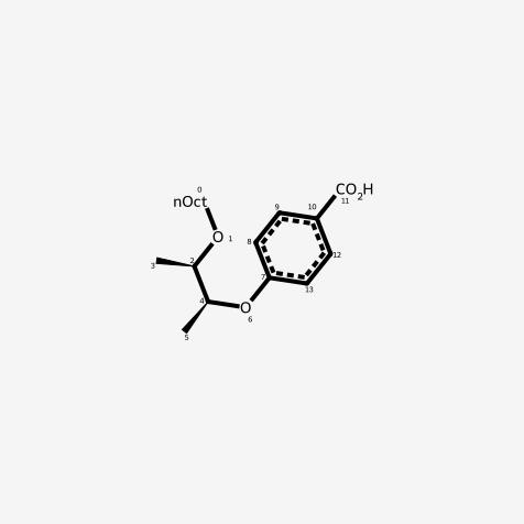 CCCCCCCCO[C@H](C)[C@H](C)Oc1ccc(C(=O)O)cc1